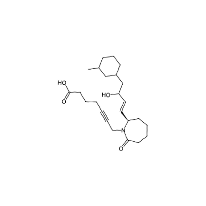 CC1CCCC(CC(O)/C=C/[C@H]2CCCCC(=O)N2CC#CCCCC(=O)O)C1